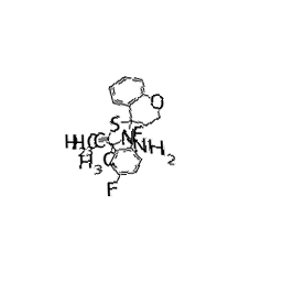 C=C(SC1(N(N)C(C)C)CCOc2ccccc21)c1cc(F)ccc1F